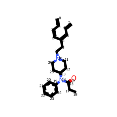 C=C/C=C\C(=C/C=C)CCN1CCC(N(C(=O)CC)c2ccccc2)CC1